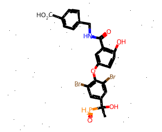 CC(O)([PH2]=O)c1cc(Br)c(Oc2ccc(O)c(C(=O)NCc3ccc(C(=O)O)cc3)c2)c(Br)c1